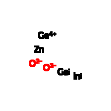 [Ga].[Ge+4].[In].[O-2].[O-2].[Zn]